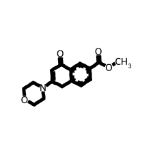 COC(=O)c1ccc2c(c1)C(=O)C=C(N1CCOCC1)C2